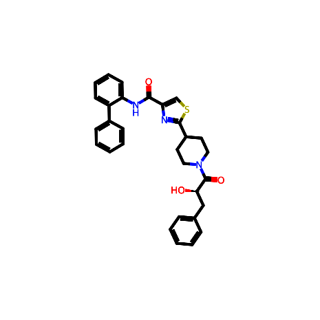 O=C(Nc1ccccc1-c1ccccc1)c1csc(C2CCN(C(=O)[C@H](O)Cc3ccccc3)CC2)n1